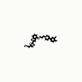 Cc1ccc(C2CCN(CCCOc3cccc4oc(-c5nnc(CC(C)C)o5)cc34)CC2)cc1C